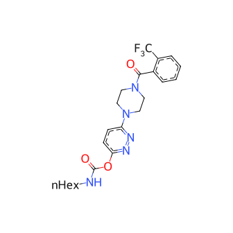 CCCCCCNC(=O)Oc1ccc(N2CCN(C(=O)c3ccccc3C(F)(F)F)CC2)nn1